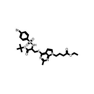 CCOC(=O)CCCn1ccc2c(SCC(NS(=O)(=O)c3ccc(Br)cc3)C(=O)OC(C)(C)C)nc(C)nc21